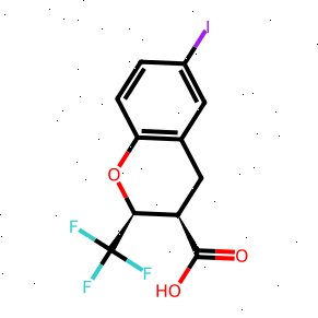 O=C(O)[C@@H]1Cc2cc(I)ccc2O[C@@H]1C(F)(F)F